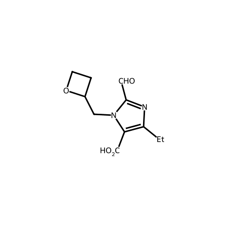 CCc1nc(C=O)n(CC2CCO2)c1C(=O)O